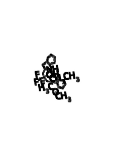 COc1ccc(C)cc1C(C)(C)CC(O)(Cc1cc2ccccc2[nH]1)C(F)(F)F